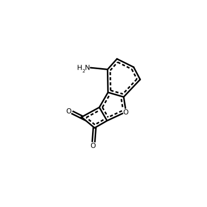 Nc1cccc2oc3c(=O)c(=O)c3c12